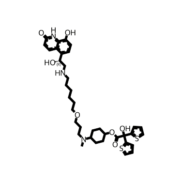 CN(CCCOCCCCCCNC[C@H](O)c1ccc(O)c2[nH]c(=O)ccc12)C1CCC(OC(=O)C(O)(c2cccs2)c2cccs2)CC1